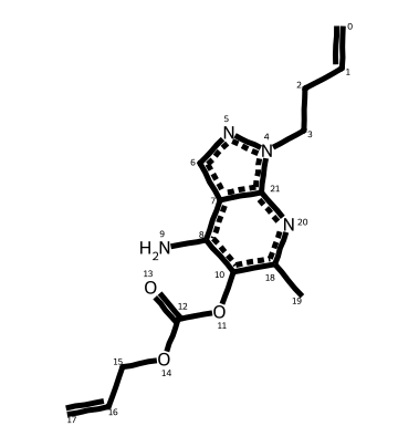 C=CCCn1ncc2c(N)c(OC(=O)OCC=C)c(C)nc21